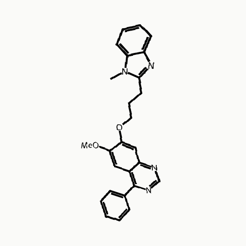 COc1cc2c(-c3ccccc3)ncnc2cc1OCCCc1nc2ccccc2n1C